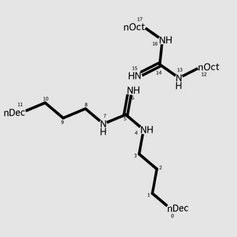 CCCCCCCCCCCCCNC(=N)NCCCCCCCCCCCCC.CCCCCCCCNC(=N)NCCCCCCCC